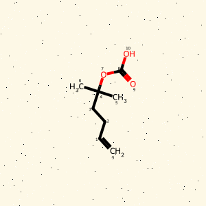 C=CCCC(C)(C)OC(=O)O